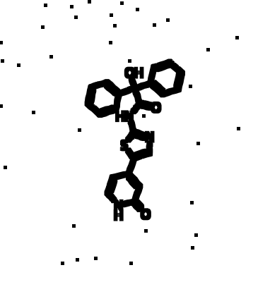 O=C(Nc1ncc(-c2cc[nH]c(=O)c2)s1)C(O)(c1ccccc1)c1ccccc1